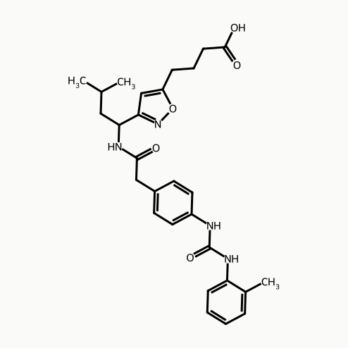 Cc1ccccc1NC(=O)Nc1ccc(CC(=O)NC(CC(C)C)c2cc(CCCC(=O)O)on2)cc1